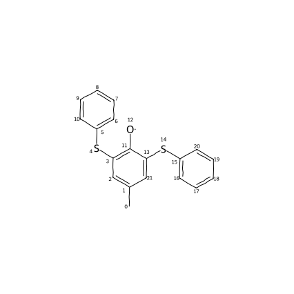 Cc1cc(Sc2ccccc2)c([O])c(Sc2ccccc2)c1